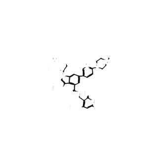 COC[C@H](C)n1cc(C)c2c(C(=O)NCc3c(C)cc(C)[nH]c3=O)cc(-c3ccc(N4CCN(C)CC4)nc3)cc21